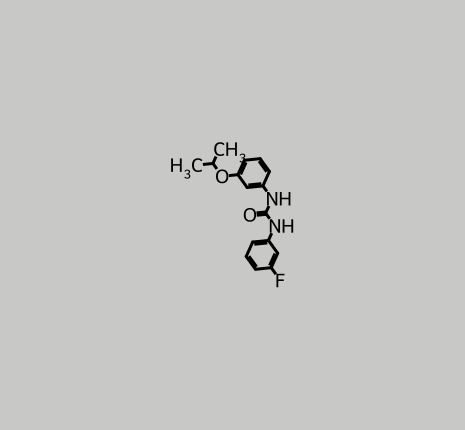 CC(C)Oc1cccc(NC(=O)Nc2cccc(F)c2)c1